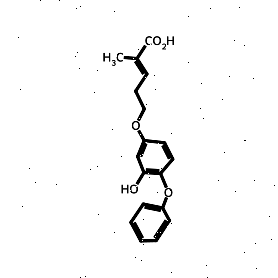 CC(=CCCOc1ccc(Oc2ccccc2)c(O)c1)C(=O)O